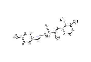 N#Cc1c(O)cccc1/C=C(\O)C(=O)N/C=C/c1ccc(O)cc1